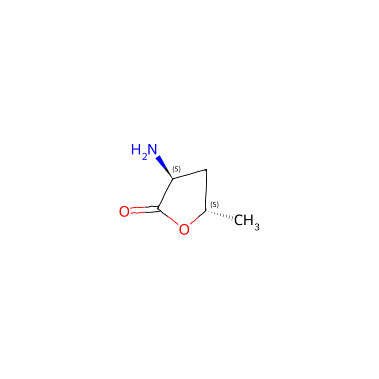 C[C@H]1C[C@H](N)C(=O)O1